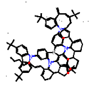 C=C1/C=C(/C(C)(C)C)CCN(c2ccc3c(c2)N(C2C(C4C=CCC4)=CCCC2C2CC=CCC2)c2cc(C(C)(C)C)cc4c2B3c2ccc(-n3c5ccc(C(C)(C)C)cc5c5cc(C(C)(C)C)ccc53)cc2N4C2C(C=CCCCCC)=CCCC2C2C=C=CC2)c2ccc(C(C)(C)C)cc21